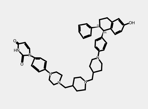 O=c1ccn(-c2ccc(N3CCN(CC4CCN(CC5CCN(c6ccc([C@@H]7c8ccc(O)cc8CC[C@@H]7c7ccccc7)cc6)CC5)CC4)CC3)cc2)c(=O)[nH]1